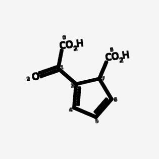 O=C(O)C(=O)C1=CC=CC1C(=O)O